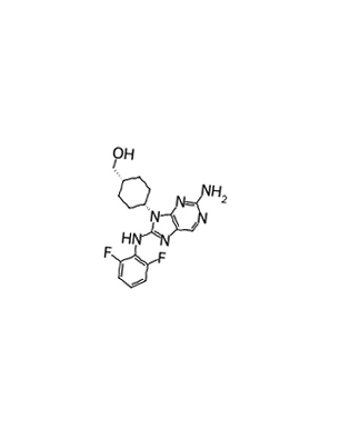 Nc1ncc2nc(Nc3c(F)cccc3F)n([C@H]3CC[C@@H](CO)CC3)c2n1